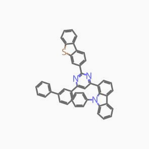 c1ccc(-c2cccc(-c3cc(-c4cccc5c6ccccc6n(-c6ccccc6)c45)nc(-c4ccc5c(c4)sc4ccccc45)n3)c2)cc1